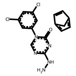 C1=CC2=CC=C1C2.NNc1ncn(-c2cc(Cl)cc(Cl)c2)c(=O)n1